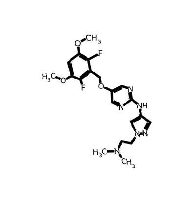 COc1cc(OC)c(F)c(COc2cnc(Nc3cnn(CCN(C)C)c3)nc2)c1F